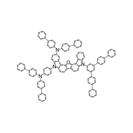 c1ccc(-c2ccc(-c3cc(-c4ccc(-c5ccccc5)cc4)cc(-n4c5ccccc5c5c6oc7c(ccc8c7c7cc(N(c9ccc(-c%10ccccc%10)cc9)c9ccc(-c%10ccccc%10)cc9)ccc7n8-c7ccc(N(c8ccc(-c9ccccc9)cc8)c8ccc(-c9ccccc9)cc8)cc7)c6ccc54)c3)cc2)cc1